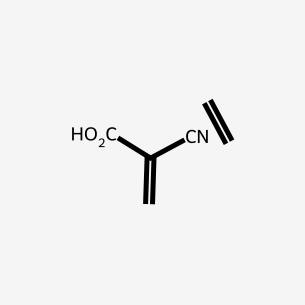 C=C.C=C(C#N)C(=O)O